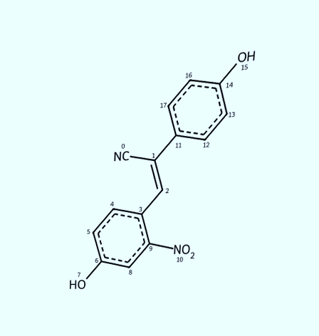 N#C/C(=C\c1ccc(O)cc1[N+](=O)[O-])c1ccc(O)cc1